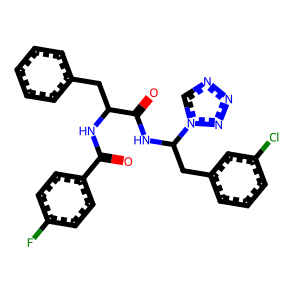 O=C(NC(Cc1ccccc1)C(=O)NC(Cc1cccc(Cl)c1)n1cnnn1)c1ccc(F)cc1